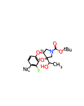 CC(O)[C@]1(O)CN(C(=O)OC(C)(C)C)C[C@@H]1Oc1ccc(C#N)c(F)c1